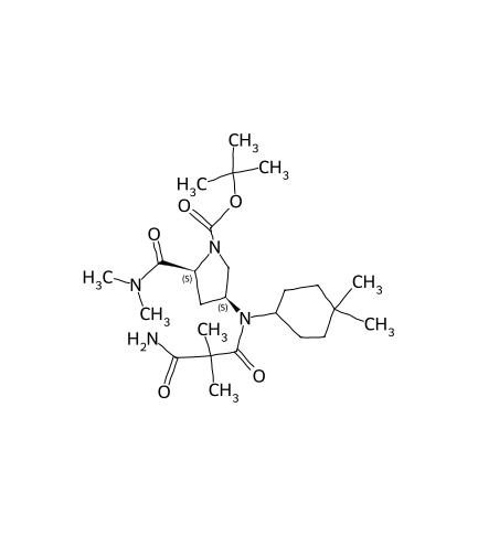 CN(C)C(=O)[C@@H]1C[C@H](N(C(=O)C(C)(C)C(N)=O)C2CCC(C)(C)CC2)CN1C(=O)OC(C)(C)C